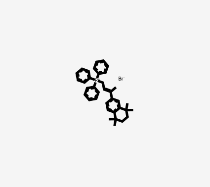 CC(=CC[P+](c1ccccc1)(c1ccccc1)c1ccccc1)c1ccc2c(c1)C(C)(C)CCC2(C)C.[Br-]